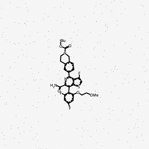 COCCOc1cc(F)cc(F)c1-c1c(C(N)=O)nc(-c2ccc3c(c2)CCN(C(=O)OC(C)(C)C)C3)c2c(F)csc12